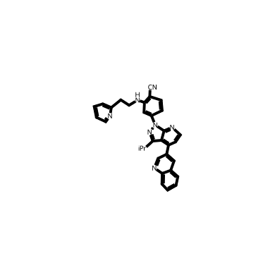 CC(C)c1nn(-c2ccc(C#N)c(NCCc3ccccn3)c2)c2nccc(-c3cnc4ccccc4c3)c12